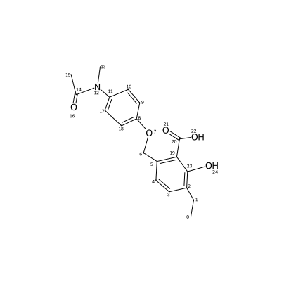 CCc1ccc(COc2ccc(N(C)C(C)=O)cc2)c(C(=O)O)c1O